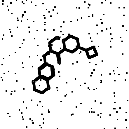 CC(C)CN(Cc1ccc2c(c1)OCCO2)C(=O)C1CN(C2CCC2)CCO1